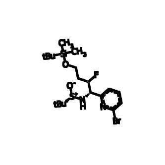 CC(C)(C)[S@@+]([O-])N[C@@H](c1cccc(Br)n1)C(F)CCO[Si](C)(C)C(C)(C)C